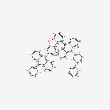 c1ccc(-c2cccc(-c3c4ccccc4c(-c4cccc5oc6cc(-c7c8ccccc8c(-c8ccccc8)c8ccccc78)ccc6c45)c4ccccc34)c2)cc1